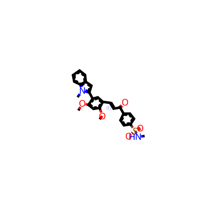 CNS(=O)(=O)c1ccc(C(=O)/C=C/c2cc(-c3cc4ccccc4n3C)c(OC)cc2OC)cc1